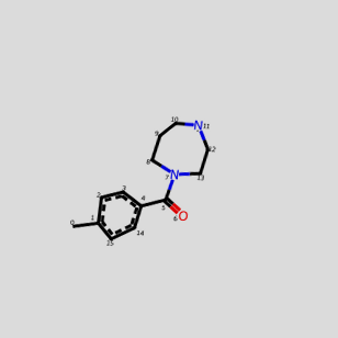 Cc1ccc(C(=O)N2CCC[N]CC2)cc1